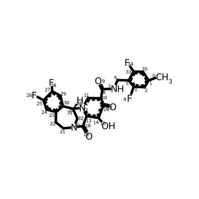 Cc1cc(F)c(CNC(=O)c2cn3c(c(O)c2=O)C(=O)N2CCc4cc(F)c(F)cc4[C@H]3C2)c(F)c1